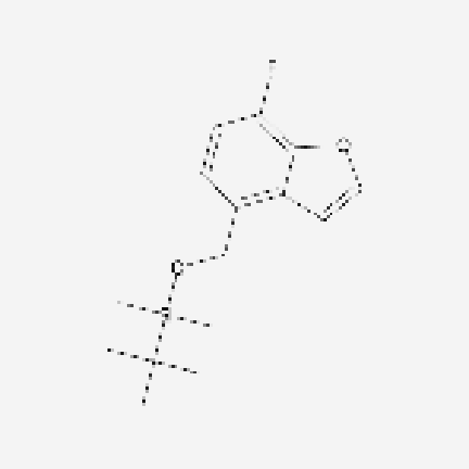 CC(C)(C)[Si](C)(C)OCc1ccc(F)c2occc12